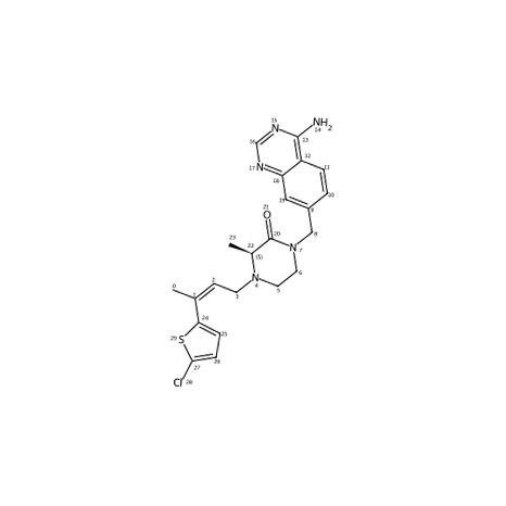 CC(=CCN1CCN(Cc2ccc3c(N)ncnc3c2)C(=O)[C@@H]1C)c1ccc(Cl)s1